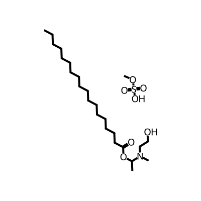 CCCCCCCCCCCCCCCCCC(=O)OC(C)N(C)CCO.COS(=O)(=O)O